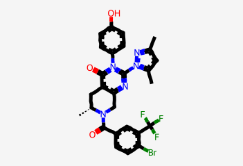 Cc1cc(C)n(-c2nc3c(c(=O)n2-c2ccc(O)cc2)C[C@@H](C)N(C(=O)c2ccc(Br)c(C(F)(F)F)c2)C3)n1